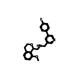 COc1cccc2c1C(CNCc1cncc(-c3ccc(F)cc3)c1)OCC2